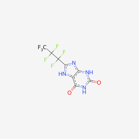 O=c1[nH]c(=O)c2[nH]c(C(F)(F)C(F)(F)C(F)(F)F)nc2[nH]1